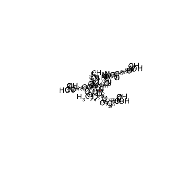 COc1ccccc1Oc1c(OCCOC(=O)c2cccc(CON(O)O)c2)nc(-c2ccnc(-c3nnnn3COC(=O)OCCCCON(O)O)c2)nc1N(COC(=O)OCCCCON(O)O)S(=O)(=O)c1ccc(C)cn1